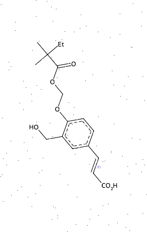 CCC(C)(C)C(=O)OCOc1ccc(/C=C/C(=O)O)cc1CO